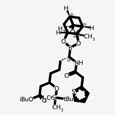 CC(C)COC(=O)CC(CCC[C@@H](NC(=O)Cc1cccs1)B1O[C@@H]2C[C@@H]3C[C@@H](C3(C)C)[C@]2(C)O1)O[Si](C)(C)C(C)(C)C